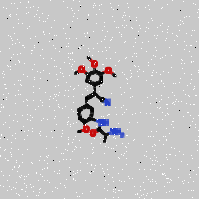 COc1ccc(C=C(C#N)c2cc(OC)c(OC)c(OC)c2)cc1NC(=O)C(C)N